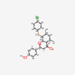 COc1ccc(-c2cc(=O)c3c(C)cc(C)c(Sc4ccc(Br)cc4)c3o2)cc1